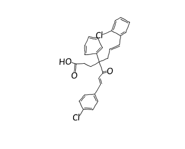 O=C(O)CCC(C/C=C/c1ccccc1Cl)(C(=O)C=Cc1ccc(Cl)cc1)c1ccccc1